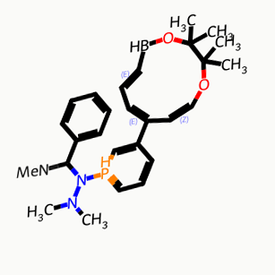 CNC(c1ccccc1)N(N(C)C)[PH]1=CC=CC(C2=C/C=C/BOC(C)(C)C(C)(C)O/C=C\2)=C1